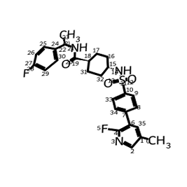 Cc1cnc(F)c(-c2ccc(S(=O)(=O)N[C@H]3CC[C@H](C(=O)N[C@H](C)c4ccc(F)cc4)CC3)cc2)c1